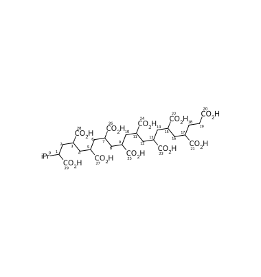 CC(C)C(CC(CC(CC(CC(CC(CC(CC(CC(CCC(=O)O)C(=O)O)C(=O)O)C(=O)O)C(=O)O)C(=O)O)C(=O)O)C(=O)O)C(=O)O)C(=O)O